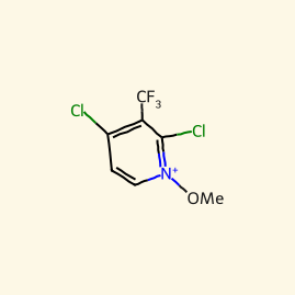 CO[n+]1ccc(Cl)c(C(F)(F)F)c1Cl